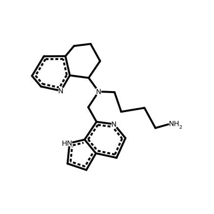 NCCCCN(Cc1nccc2cc[nH]c12)C1CCCc2cccnc21